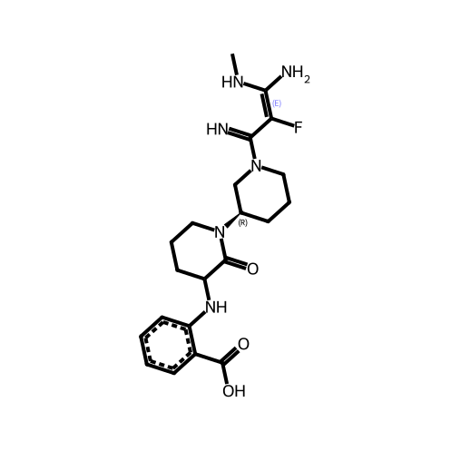 CN/C(N)=C(/F)C(=N)N1CCC[C@@H](N2CCCC(Nc3ccccc3C(=O)O)C2=O)C1